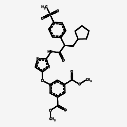 COC(=O)c1cc(Oc2cnc(NC(=O)[C@H](CC3CCCC3)c3ccc(S(C)(=O)=O)cc3)s2)cc(C(=O)OC)c1